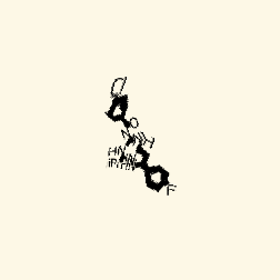 CC(C)CN/C(=N/C(=O)c1ccc(Cl)cc1)NC1CC(c2ccc(F)cc2)NN1